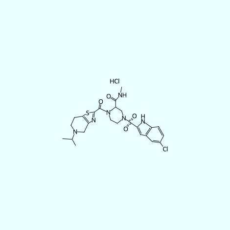 CNC(=O)C1CN(S(=O)(=O)c2cc3cc(Cl)ccc3[nH]2)CCN1C(=O)c1nc2c(s1)CCN(C(C)C)C2.Cl